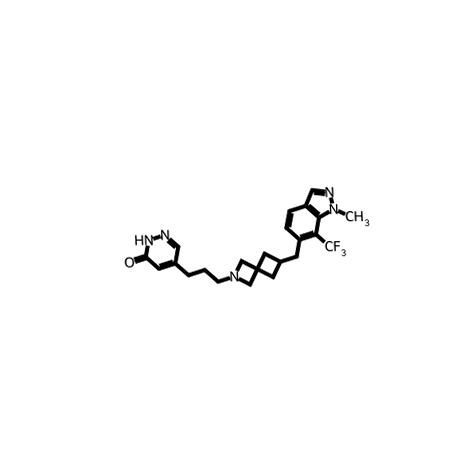 Cn1ncc2ccc(CC3CC4(C3)CN(CCCc3cn[nH]c(=O)c3)C4)c(C(F)(F)F)c21